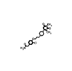 Cn1c(N2CCN(CCCOc3ccc(CC(N)=O)cc3Cl)CC2)cc(=O)n(C)c1=O